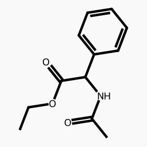 CCOC(=O)C(NC(C)=O)c1ccccc1